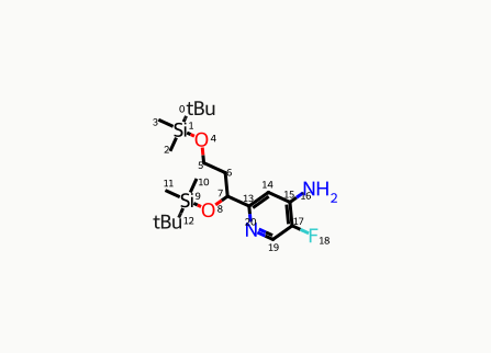 CC(C)(C)[Si](C)(C)OCCC(O[Si](C)(C)C(C)(C)C)c1cc(N)c(F)cn1